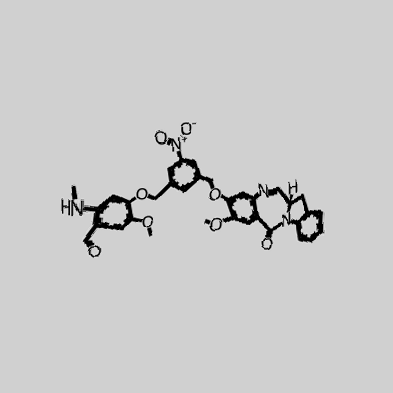 CNc1cc(OCc2cc(COc3cc4c(cc3OC)C(=O)N3c5ccccc5C[C@H]3C=N4)cc([N+](=O)[O-])c2)c(OC)cc1C=O